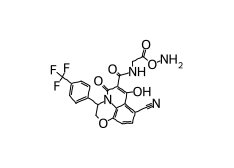 N#Cc1ccc2c3c1c(O)c(C(=O)NCC(=O)ON)c(=O)n3C(c1ccc(C(F)(F)F)cc1)CO2